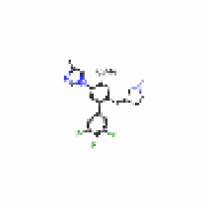 COc1cc(C=C2CCN(C)C2)c(-c2cc(F)c(F)c(F)c2)cc1-n1cnc(C)c1